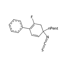 CCCCCC1(N=C=S)C=CC(c2ccccc2)=C(F)C1